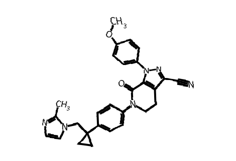 COc1ccc(-n2nc(C#N)c3c2C(=O)N(c2ccc(C4(Cn5ccnc5C)CC4)cc2)CC3)cc1